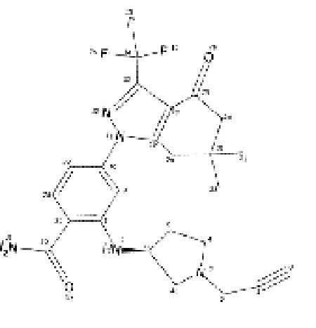 C#CCN1CC[C@H](Nc2cc(-n3nc(C(F)(F)F)c4c3CC(C)(C)CC4=O)ccc2C(N)=O)C1